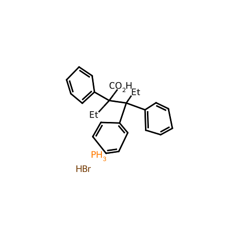 Br.CCC(C(=O)O)(c1ccccc1)C(CC)(c1ccccc1)c1ccccc1.P